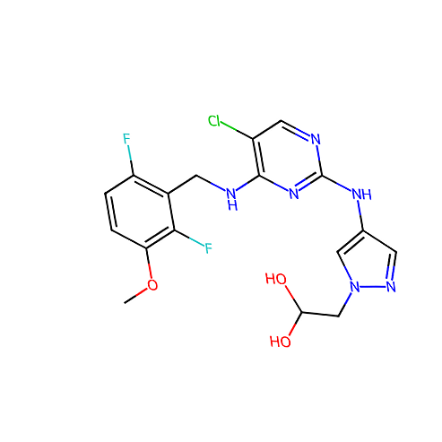 COc1ccc(F)c(CNc2nc(Nc3cnn(CC(O)O)c3)ncc2Cl)c1F